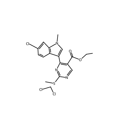 CCOC(=O)c1cnc(SC)nc1-c1cn(C)c2cc(Cl)ccc12.ClCCl